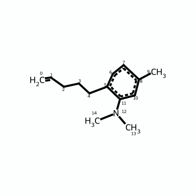 C=CCCCc1ccc(C)cc1N(C)C